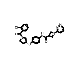 O=C(Nc1ccc(O[C@@H]2CCN(C(=O)c3ccccc3Cl)C2)cc1)C1CN(c2cccnn2)C1